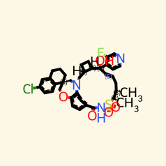 C[C@@H]1[C@@H](C)C/C=C/[C@](O)(c2ccncc2F)[C@@H]2CC[C@H]2CN2C[C@@]3(CCCc4cc(Cl)ccc43)COc3ccc(cc32)C(=O)NS1(=O)=O